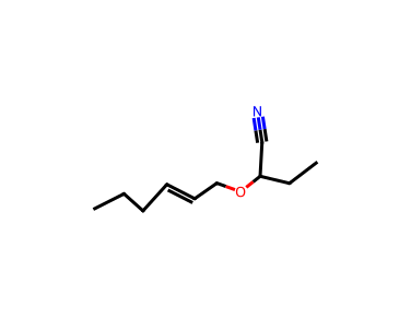 CCC/C=C/COC(C#N)CC